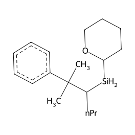 CCCC([SiH2]C1CCCCO1)C(C)(C)c1ccccc1